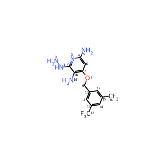 NNc1nc(N)cc(OCc2cc(C(F)(F)F)cc(C(F)(F)F)c2)c1N